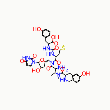 CSCC[C@H](NC(=O)NC(Cc1cccc(O)c1)C(=O)O)C(=O)N(/C=C1\CC(O)C(n2ccc(=O)[nH]c2=O)O1)C(=O)C(N)C(C)N(C)C(=O)C1Cc2cc(O)ccc2CN1